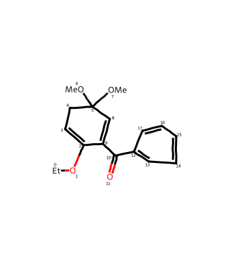 CCOC1=CCC(OC)(OC)C=C1C(=O)c1ccccc1